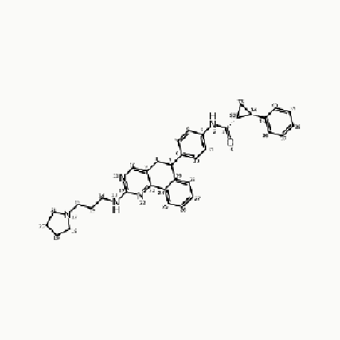 O=C(Nc1ccc(C2Cc3cnc(NCCCN4CCCC4)nc3-c3ccccc32)cc1)[C@@H]1C[C@H]1c1ccccc1